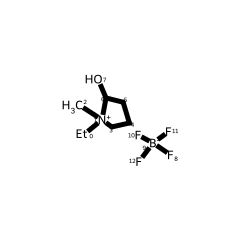 CC[N+]1(C)CCCC1O.F[B-](F)(F)F